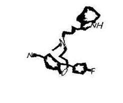 CCN(CCCc1c[nH]c2ccccc12)CCCC1(c2ccc(F)cc2)OCc2cc(C#N)ccc21